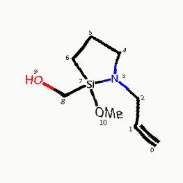 C=CCN1CCC[Si]1(CO)OC